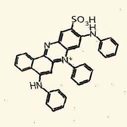 O=S(=O)(O)c1cc2nc3c4ccccc4c(Nc4ccccc4)cc3[n+](-c3ccccc3)c2cc1Nc1ccccc1